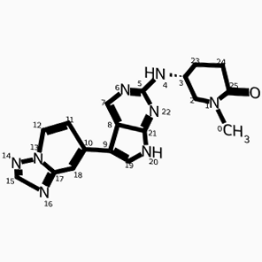 CN1C[C@H](Nc2ncc3c(-c4ccn5ncnc5c4)c[nH]c3n2)CCC1=O